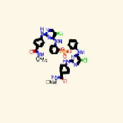 CONC(=O)c1ccc(Nc2ncc(Cl)c(Nc3ccccc3O[PH](=O)Oc3ccccc3Nc3nc(Nc4ccc(C(=O)NOC)cc4)ncc3Cl)n2)cc1